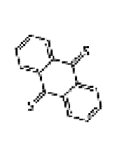 S=C1c2ccccc2C(=S)c2ccccc21